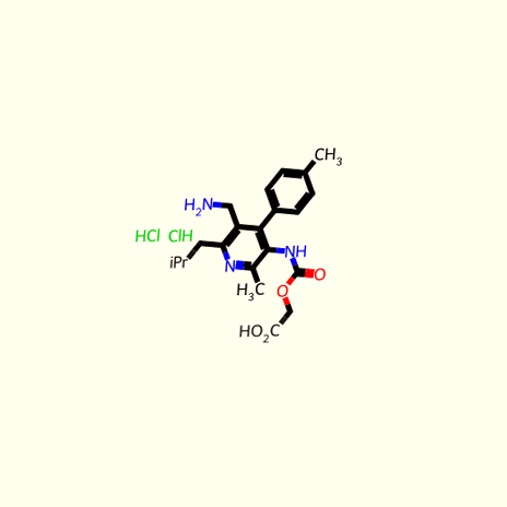 Cc1ccc(-c2c(CN)c(CC(C)C)nc(C)c2NC(=O)OCC(=O)O)cc1.Cl.Cl